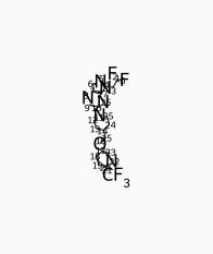 FC(F)Cn1ncc2ncc(N3CCC(COc4ccc(C(F)(F)F)nc4)CC3)nc21